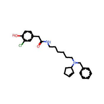 O=C(Cc1ccc(O)c(Cl)c1)NCCCCCCN(Cc1ccccc1)C1C=CCC1